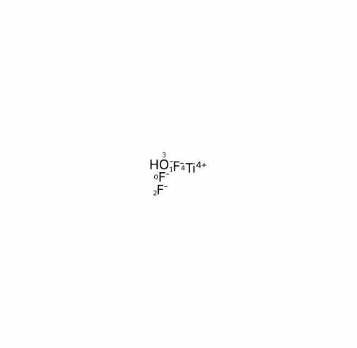 [F-].[F-].[F-].[OH-].[Ti+4]